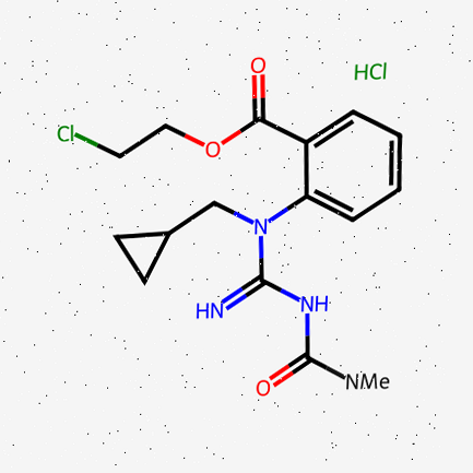 CNC(=O)NC(=N)N(CC1CC1)c1ccccc1C(=O)OCCCl.Cl